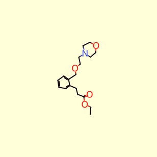 CCOC(=O)CCc1ccccc1COCCN1CCOCC1